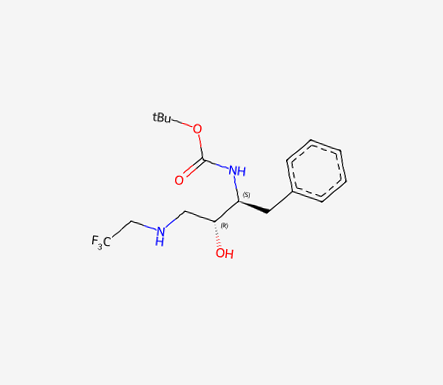 CC(C)(C)OC(=O)N[C@@H](Cc1ccccc1)[C@H](O)CNCC(F)(F)F